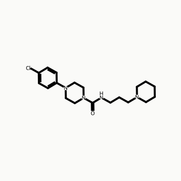 O=C(NCCCN1CCCCC1)N1CCN(c2ccc(Cl)cc2)CC1